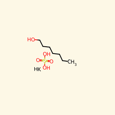 CCCCCCCO.O=S(=O)(O)O.[KH]